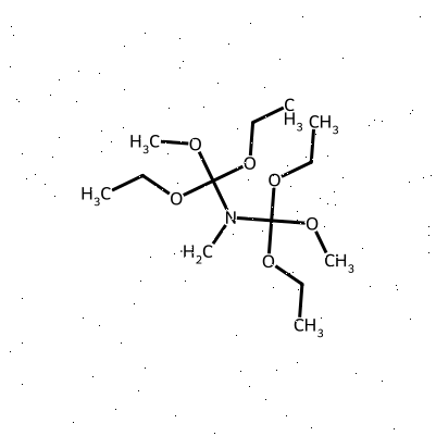 [CH2]N(C(OC)(OCC)OCC)C(OC)(OCC)OCC